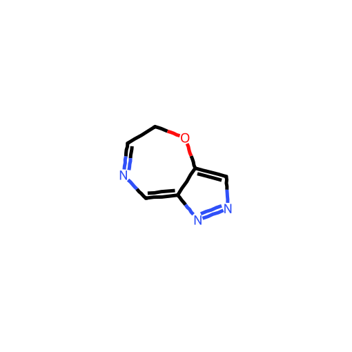 C1=NC=C2N=NC=C2OC1